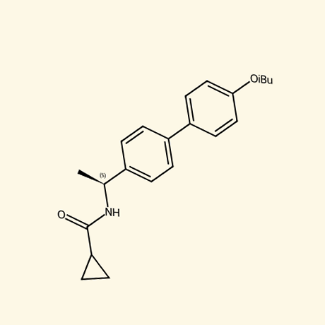 CC(C)COc1ccc(-c2ccc([C@H](C)NC(=O)C3CC3)cc2)cc1